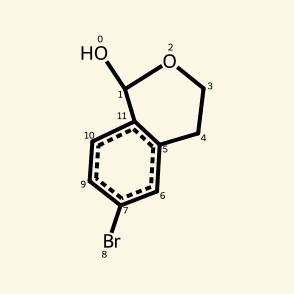 OC1OCCc2cc(Br)ccc21